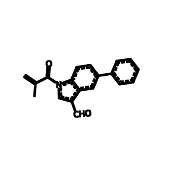 C=C(C)C(=O)n1cc(C=O)c2cc(-c3ccccc3)ccc21